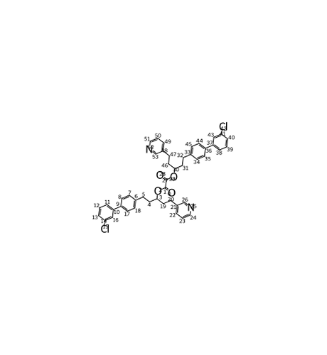 O=C(OC(CCc1ccc(-c2cccc(Cl)c2)cc1)CCc1cccnc1)C(=O)OC(CCc1ccc(-c2cccc(Cl)c2)cc1)CCc1cccnc1